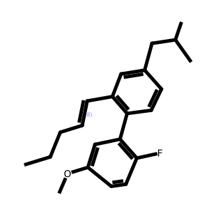 CCC/C=C/c1cc(CC(C)C)ccc1-c1cc(OC)ccc1F